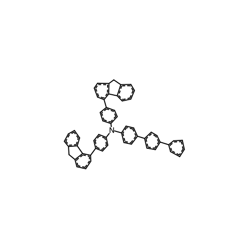 c1ccc(-c2ccc(-c3ccc(N(c4ccc(-c5cccc6c5-c5ccccc5C6)cc4)c4ccc(-c5cccc6c5-c5ccccc5C6)cc4)cc3)cc2)cc1